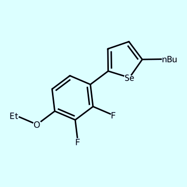 CCCCc1ccc(-c2ccc(OCC)c(F)c2F)[se]1